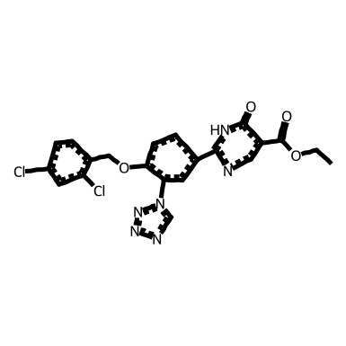 CCOC(=O)c1cnc(-c2ccc(OCc3ccc(Cl)cc3Cl)c(-n3cnnn3)c2)[nH]c1=O